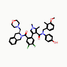 COc1cccc(CN(C(=O)c2c(-c3cc(F)c(F)cc3C(=O)N3Cc4ccccc4C[C@H]3CN3CCOCC3)cn(C)c2C)c2ccc(O)cc2)c1C